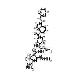 NN=NC1=NC(N=NN)=C(Cl)NC1C(=O)NC1NC2(CCN(C(=O)c3cccc4c3ccn4CCC3OCCCO3)CC2)CN1N